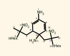 CCCCCCC(C)(CC1C=C(N)C=CC1(N)CC(C)(CCCCCC)[N+](=O)[O-])[N+](=O)[O-]